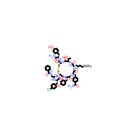 CNCCCC[C@@H]1NC(=O)[C@@H](Cc2ccc(C(N)=O)cc2)NC(=O)[C@H](Cc2ccc(O)cc2)NC(=O)[C@H](NC(=O)[C@H](Cc2ccc(Cl)cc2)NC(=O)CNC(=O)c2ccccc2)CSSC[C@@H](C(=O)N[C@H](Cc2ccc(O)cc2)C(N)=O)NC(=O)C(C(C)O)NC1=O